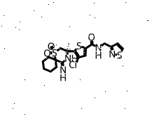 C[C@@]1(c2sc(C(=O)NCc3ccsn3)cc2Cl)CS(=O)(=O)C2(CCCCC2)C(=N)N1